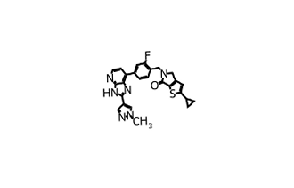 Cn1cc(-c2nc3c(-c4ccc(CN5Cc6cc(C7CC7)sc6C5=O)c(F)c4)ccnc3[nH]2)cn1